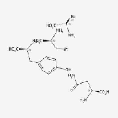 CC(C)C[C@H](N)C(=O)O.CC[C@H](C)[C@H](N)C(=O)O.NC(=O)C[C@H](N)C(=O)O.N[C@@H](Cc1ccc(O)cc1)C(=O)O